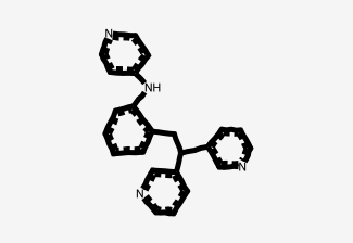 c1cncc(C(Cc2ccccc2Nc2ccncc2)c2cccnc2)c1